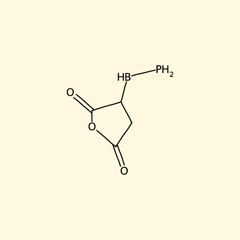 O=C1CC(BP)C(=O)O1